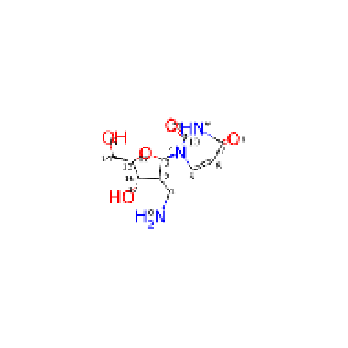 NCC1[C@H](n2ccc(=O)[nH]c2=O)O[C@H](CO)[C@H]1O